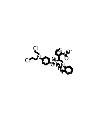 O=[N+]([O-])c1sccc1C(Cn1nnc2ccccc21)S(=O)(=O)Oc1ccc(N(CCCl)CCCl)cc1